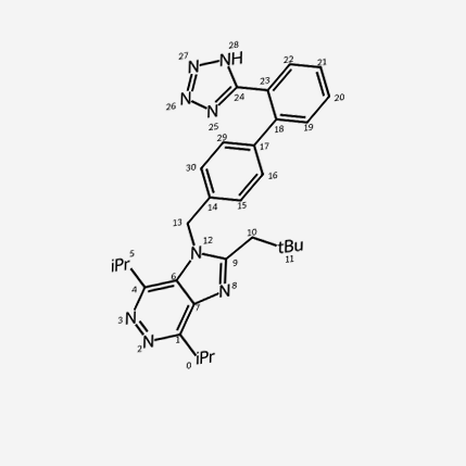 CC(C)c1nnc(C(C)C)c2c1nc(CC(C)(C)C)n2Cc1ccc(-c2ccccc2-c2nnn[nH]2)cc1